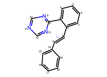 C(=C\c1ccccc1-c1ncncn1)/c1ccccc1